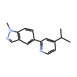 CC(C)c1ccnc(-c2ccc3c(cnn3C)c2)c1